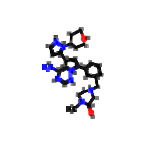 CN1CCN(Cc2cccc(-c3cc(-c4ccnn4C4CCOCC4)c4c(N)ncnn34)c2)CC1=O